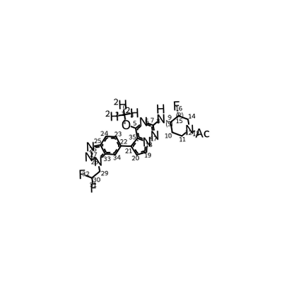 [2H]C([2H])([2H])Oc1nc(N[C@H]2CCN(C(C)=O)C[C@H]2F)nn2ccc(-c3ccc4nnn(CC(F)F)c4c3)c12